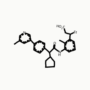 CCC(CC(=O)O)c1cccc(NC(=O)C(c2ccc(-c3cncc(C)c3)cc2)C2CCCC2)c1C